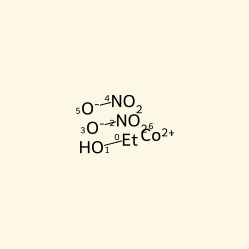 CCO.O=[N+]([O-])[O-].O=[N+]([O-])[O-].[Co+2]